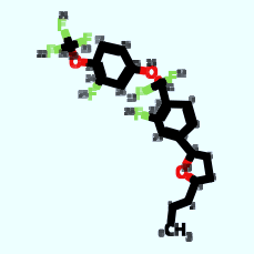 CCCC1CCC(c2ccc(C(F)(F)Oc3ccc(OC(F)(F)F)c(F)c3)c(F)c2)O1